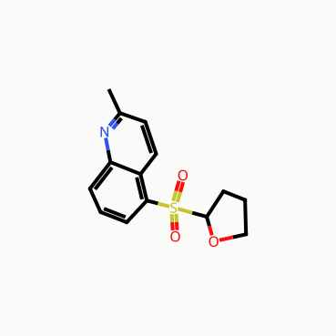 Cc1ccc2c(S(=O)(=O)C3CCCO3)cccc2n1